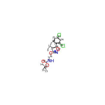 CC(C)c1c(OCCNC(=O)OC(C)(C)C)noc1-c1ccc(Cl)cc1Cl